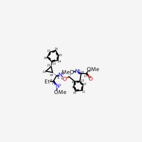 CCC(=NOC)C(=NOCc1ccccc1/C(=N\OC)C(=O)OC)[C@@H]1C[C@H]1c1ccccc1